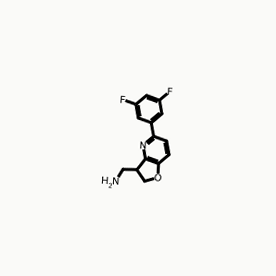 NCC1COc2ccc(-c3cc(F)cc(F)c3)nc21